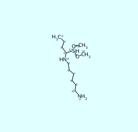 CCCC(NCCCCCCN)[SiH](OC)OC